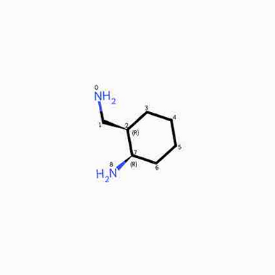 NC[C@H]1CCCC[C@H]1N